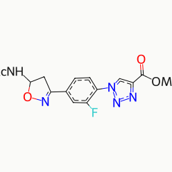 COC(=O)c1cn(-c2ccc(C3=NOC(NC(C)=O)C3)cc2F)nn1